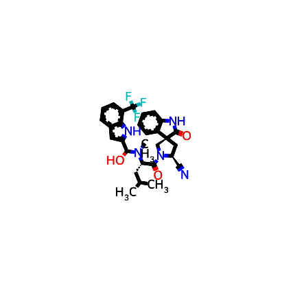 CC(C)C[C@@H](C(=O)N1C[C@]2(C[C@H]1C#N)C(=O)Nc1ccccc12)N(C)C(O)c1cc2cccc(C(F)(F)F)c2[nH]1